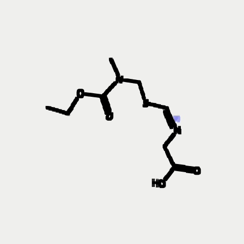 CCOC(=O)N(C)CS/C=N\CC(=O)O